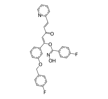 O=C(C=Cc1ccccn1)C=C(OC(=NO)c1ccc(F)cc1)c1cccc(OCc2ccc(F)cc2)c1